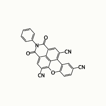 N#Cc1ccc2oc3c(C#N)cc4c(=O)n(-c5ccccc5)c(=O)c5cc(C#N)c(c2c1)c3c45